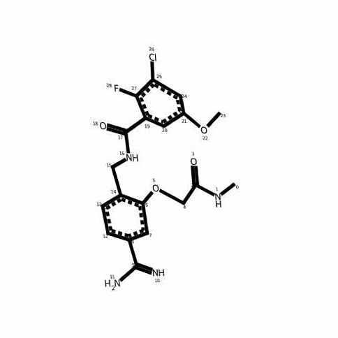 CNC(=O)COc1cc(C(=N)N)ccc1CNC(=O)c1cc(OC)cc(Cl)c1F